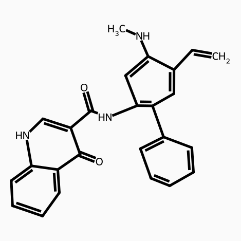 C=Cc1cc(-c2ccccc2)c(NC(=O)c2c[nH]c3ccccc3c2=O)cc1NC